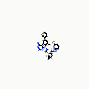 Cc1cc(-c2cccnc2)cc2c3c(N)ncnc3n(CC(=O)N3[C@H](C(=O)Nc4cccc(Br)n4)C[C@@]4(C)C[C@@H]34)c12